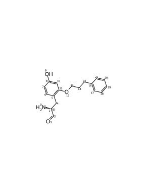 N[C@H](C=O)Cc1ccc(O)cc1OCCCc1ccccc1